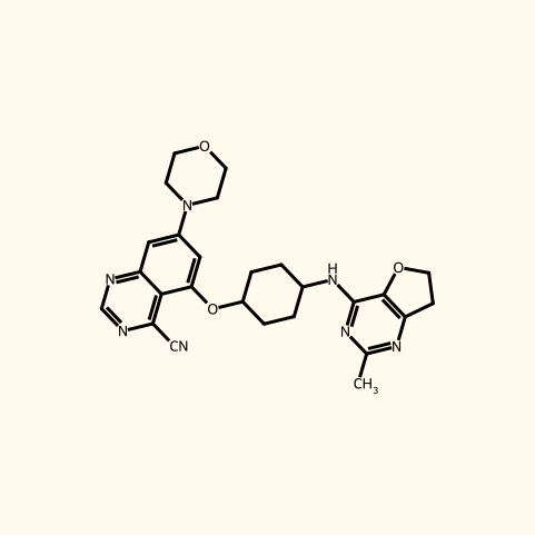 Cc1nc2c(c(NC3CCC(Oc4cc(N5CCOCC5)cc5ncnc(C#N)c45)CC3)n1)OCC2